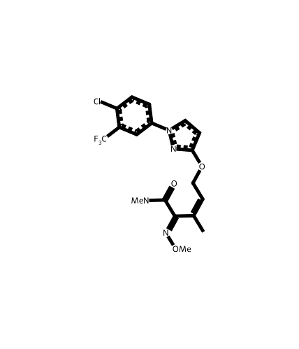 CNC(=O)C(=N/OC)/C(C)=C\COc1ccn(-c2ccc(Cl)c(C(F)(F)F)c2)n1